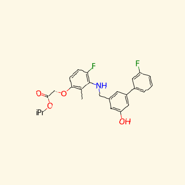 Cc1c(OCC(=O)OC(C)C)ccc(F)c1NCc1cc(O)cc(-c2cccc(F)c2)c1